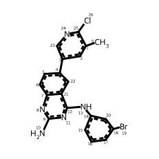 Cc1cc(-c2ccc3nc(N)nc(Nc4cccc(Br)c4)c3c2)cnc1Cl